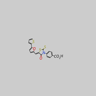 O=C(O)c1ccc(N2C(=O)C(=Cc3ccc(-c4cccs4)o3)SC2=S)cc1